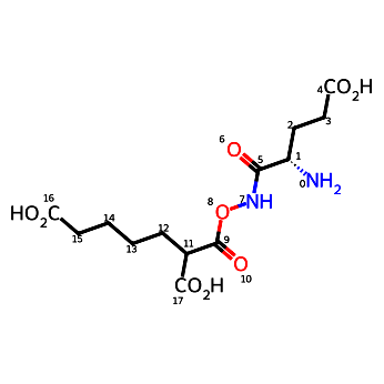 N[C@@H](CCC(=O)O)C(=O)NOC(=O)C(CCCCC(=O)O)C(=O)O